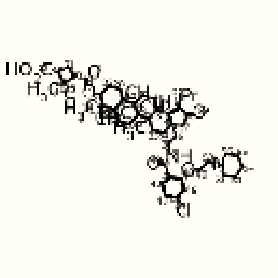 CC(C)C1=C2[C@H]3CC[C@@]4(C)[C@@](C)(CC[C@H]5C(C)(C)[C@@H](OC(=O)[C@H]6C[C@@H](C(=O)O)C6(C)C)CC[C@@]54C)[C@]3(C)CC[C@@]2(CCNC(=O)c2ccc(Cl)cc2OCCN2CCCCC2)CC1=O